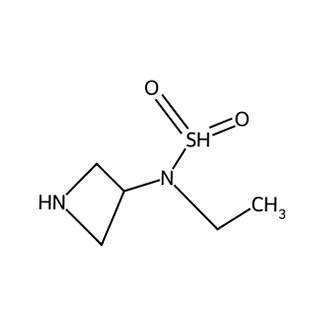 CCN(C1CNC1)[SH](=O)=O